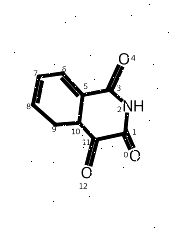 O=C1NC(=O)C2=CC=CCC2C1=O